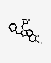 C[C@H]1CCc2c(ccc3c2nc(Cc2ccccc2)n3CC2CNC2)N1